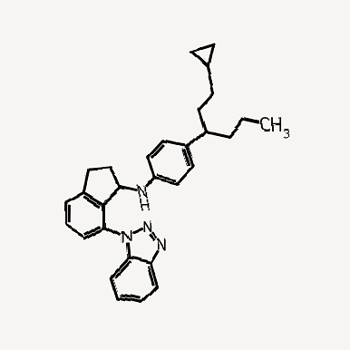 CCCC(CCC1CC1)c1ccc(NC2CCc3cccc(-n4nnc5ccccc54)c32)cc1